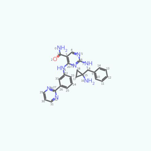 NC(=O)c1cnc(N[C@H](c2ccccc2)C2(N)CC2)nc1Nc1cccc(-c2ncccn2)c1